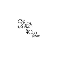 CNC(=O)C1CCC(NC(=O)N[C@@H](C)c2oc3ccccc3c2C)CC1